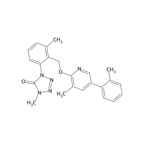 Cc1ccccc1-c1cnc(OCc2c(C)cccc2-n2nnn(C)c2=O)c(C)c1